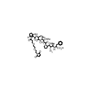 CC[C@H](C)[C@@H]([C@@H](CC(=O)N1CCCC1[C@H](OC)[C@@H](C)C(=O)NC(Cc1ccccc1)C(=O)O)OC)N(C)C(=O)C(NC(=O)[C@@H]1[C@H]2CC[C@H](C2)N1C(=O)CCOCCOCCN1C(=O)C=CC1=O)C(C)C